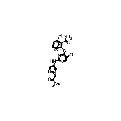 CN(C)C(=O)Cn1cc(Nc2ncc(Cl)c(N[C@@H]3[C@H](C(N)=O)[C@H]4C=C[C@@H]3C4)n2)cn1